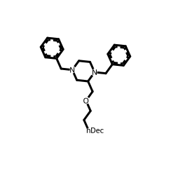 CCCCCCCCCCCCOCC1CN(Cc2ccccc2)CCN1Cc1ccccc1